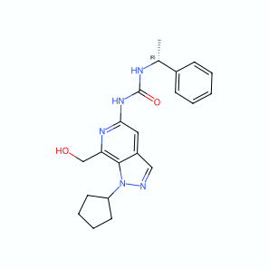 C[C@@H](NC(=O)Nc1cc2cnn(C3CCCC3)c2c(CO)n1)c1ccccc1